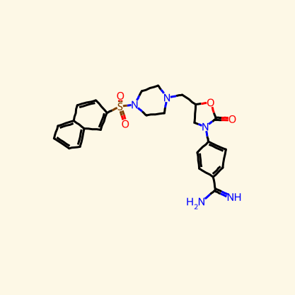 N=C(N)c1ccc(N2CC(CN3CCN(S(=O)(=O)c4ccc5ccccc5c4)CC3)OC2=O)cc1